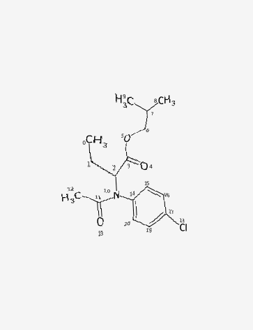 CCC(C(=O)OCC(C)C)N(C(C)=O)c1ccc(Cl)cc1